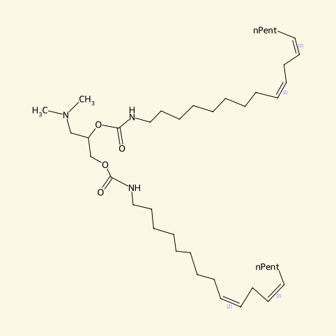 CCCCC/C=C\C/C=C\CCCCCCCCNC(=O)OCC(CN(C)C)OC(=O)NCCCCCCCC/C=C\C/C=C\CCCCC